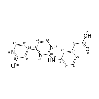 O=C(O)Cc1cccc(Nc2nccc(-c3ccnc(Cl)c3)n2)c1